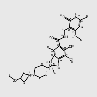 COC1CN([C@H]2CC[C@@H]([C@@]3(C)Oc4c(C)c(C(=O)NCc5c(SC)cc(C)[nH]c5=O)c(Cl)c(Cl)c4O3)CC2)C1